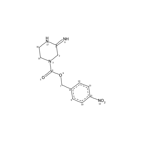 N=C1CN(C(=O)OCc2ccc([N+](=O)[O-])cc2)CCN1